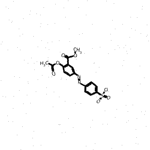 COC(=O)c1cc(/N=N/c2ccc(S(=O)(=O)Cl)cc2)ccc1OC(C)=O